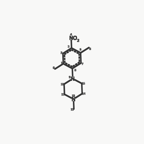 Cc1cc([N+](=O)[O-])c(C)cc1N1CCN(C)CC1